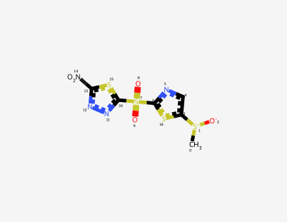 C[S+]([O-])c1cnc(S(=O)(=O)c2nnc([N+](=O)[O-])s2)s1